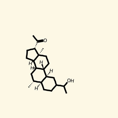 CC(=O)[C@H]1CC[C@H]2[C@@H]3C[C@@H](C)[C@@H]4CCC(C(C)O)C[C@@H]4[C@H]3CC[C@]12C